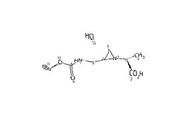 C[C@@H](C(=O)O)N1CC1CNC(=O)OC(C)(C)C.Cl